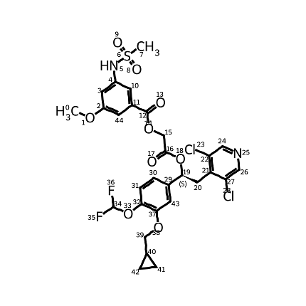 COc1cc(NS(C)(=O)=O)cc(C(=O)OCC(=O)O[C@@H](Cc2c(Cl)cncc2Cl)c2ccc(OC(F)F)c(OCC3CC3)c2)c1